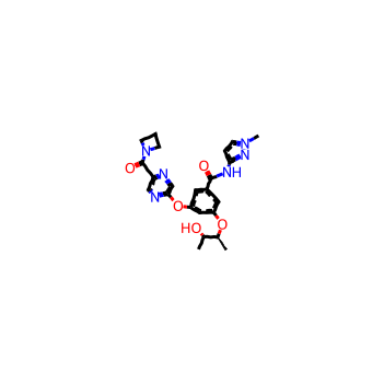 CC(O)[C@H](C)Oc1cc(Oc2cnc(C(=O)N3CCC3)cn2)cc(C(=O)Nc2ccn(C)n2)c1